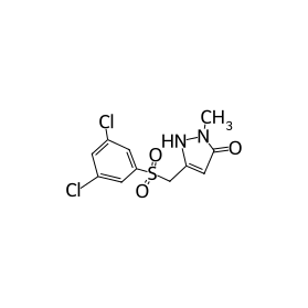 Cn1[nH]c(CS(=O)(=O)c2cc(Cl)cc(Cl)c2)cc1=O